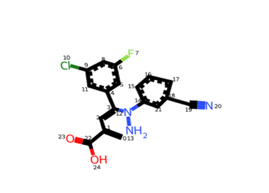 C=C(/C=C(/c1cc(F)cc(Cl)c1)N(N)c1cccc(C#N)c1)C(=O)O